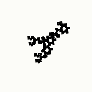 CC(C)Oc1ncc(-c2ccc(NC(=O)Cc3ccccc3Cl)cc2S(=O)(=O)/N=C/N(C)C)cn1